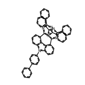 c1ccc(-c2ccc(-n3c4cccc(-c5nc(-c6ccccc6)nc(-c6ccccc6)n5)c4c4c(-c5nc(-c6ccccc6)nc(-c6ccccc6)n5)cccc43)cc2)cc1